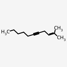 CCCCCC#CCC=C(C)C